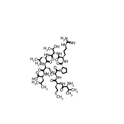 CSCC[C@H](NC(=O)[C@@H](N)C(C)C)C(=O)N[C@@H](C)C(=O)N1CCC[C@H]1C(=O)N[C@H](CCCNC(=N)N)C(=O)N[C@H](C(=O)N[C@@H](CC(C)C)C(=O)N[C@@H](CS)C(=O)N[C@@H](CC(C)C)C(=O)O)[C@@H](C)O